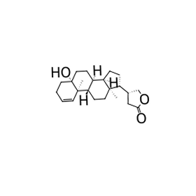 C[C@]12CC[C@H]3[C@@H](CC[C@]4(O)CCC=C[C@]34C)[C@H]1CC[C@@H]2[C@@H]1COC(=O)C1